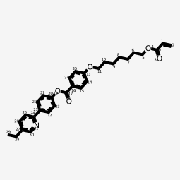 C=CC(=O)OCCCCCCCOc1ccc(C(=O)Oc2ccc(-c3ccc(CC)cn3)cc2)cc1